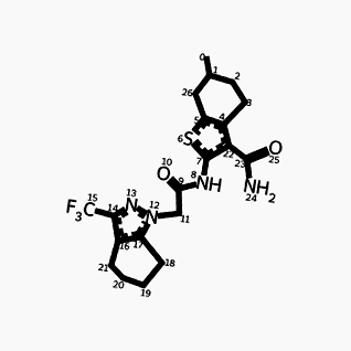 CC1CCc2c(sc(NC(=O)Cn3nc(C(F)(F)F)c4c3CCCC4)c2C(N)=O)C1